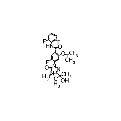 CC(Oc1cc(-n2nc(C(C)(C)O)n(C)c2=O)c(F)cc1C(=O)Nc1c(F)cccc1F)C(F)(F)F